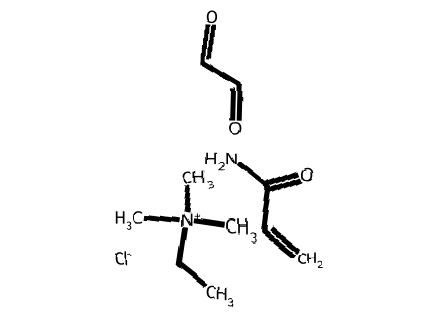 C=CC(N)=O.CC[N+](C)(C)C.O=CC=O.[Cl-]